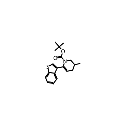 CC1CC=C(c2csc3ccccc23)N(C(=O)OC(C)(C)C)C1